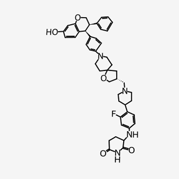 O=C1CCC(Nc2ccc(C3CCN(C[C@@H]4COC5(CCN(c6ccc([C@H]7c8ccc(O)cc8OC[C@H]7c7ccccc7)cc6)CC5)C4)CC3)c(F)c2)C(=O)N1